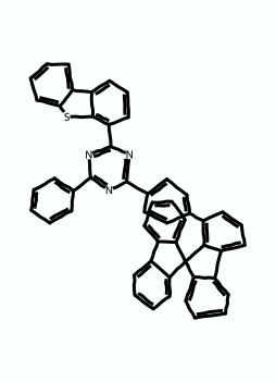 c1ccc(-c2nc(-c3ccc(-c4cccc5c4C4(c6ccccc6-c6ccccc64)c4ccccc4-5)cc3)nc(-c3cccc4c3sc3ccccc34)n2)cc1